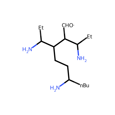 CCCCC(N)CCC(C(N)CC)C([C]=O)C(N)CC